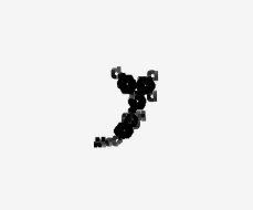 COc1ccc(S(=O)(=O)NCC2CCC(c3ccc(Cl)cc3Cl)N(c3ccc(Cl)cc3)C2)cc1